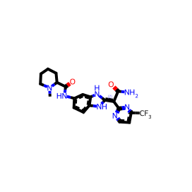 CN1CCCCC1C(=O)Nc1ccc2c(c1)N/C(=C(\C(N)=O)c1nccc(C(F)(F)F)n1)N2